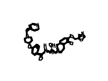 O=C(NC[C@H](O)CN1CCc2c(ccc(OCc3cnco3)c2Cl)C1)c1ccc(OC2CCN(Cc3ccncc3)CC2)cc1